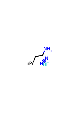 CCCCCN.F.N#N